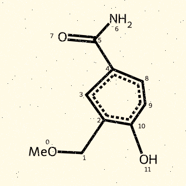 COCc1cc(C(N)=O)ccc1O